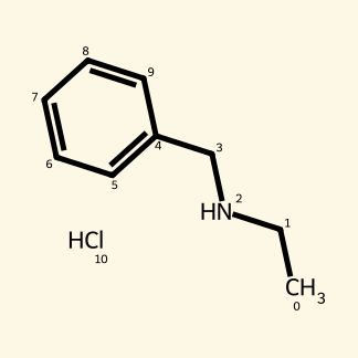 CCNCc1ccccc1.Cl